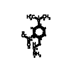 CN(C)c1ccc(CNN)c([N+](=O)[O-])c1